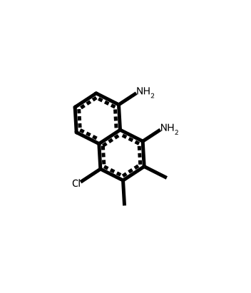 Cc1c(C)c(N)c2c(N)cccc2c1Cl